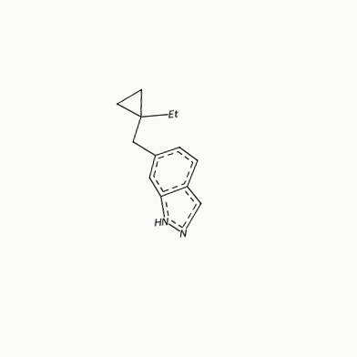 CCC1(Cc2ccc3cn[nH]c3c2)CC1